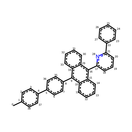 Cc1ccc(-c2ccc(-c3c4ccccc4c(-c4cccc(-c5ccccc5)n4)c4ccccc34)cc2)cc1